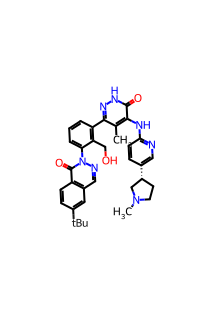 Cc1c(-c2cccc(-n3ncc4cc(C(C)(C)C)ccc4c3=O)c2CO)n[nH]c(=O)c1Nc1ccc([C@@H]2CCN(C)C2)cn1